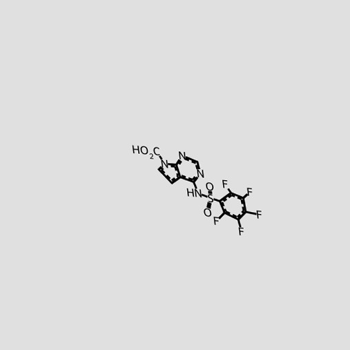 O=C(O)n1ccc2c(NS(=O)(=O)c3c(F)c(F)c(F)c(F)c3F)ncnc21